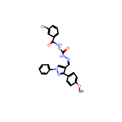 CCCOc1ccc(-c2nn(-c3ccccc3)cc2/C=N\NC(=O)CNC(=O)c2cccc(Cl)c2)cc1